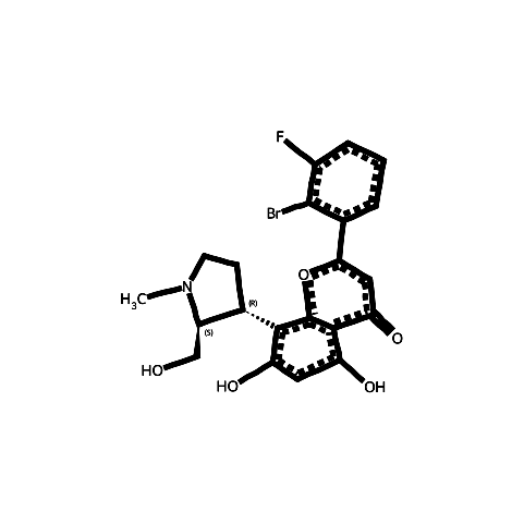 CN1CC[C@H](c2c(O)cc(O)c3c(=O)cc(-c4cccc(F)c4Br)oc23)[C@H]1CO